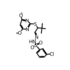 COc1cc(OC)nc(SC(C=NNS(=O)(=O)c2cccc(Cl)c2)C(C)(C)C)n1